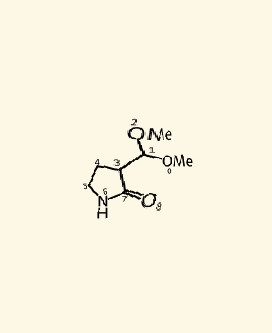 COC(OC)C1CCNC1=O